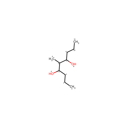 CCCC(O)C(C)C(O)CCC